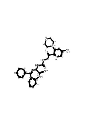 O=C(CNC(=S)NC1N=C(c2ccccc2)c2ccccc2NC1=O)c1ncc(C(F)(F)F)cc1N1CCOCC1